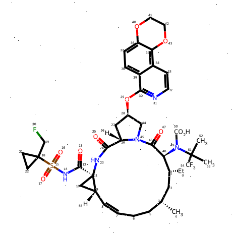 CC[C@@H]1C[C@H](C)CC/C=C\[C@@H]2C[C@@]2(C(=O)NS(=O)(=O)C2(CF)CC2)NC(=O)[C@@H]2C[C@@H](Oc3nccc4c5c(ccc34)OCCO5)CN2C(=O)[C@H]1N(C(=O)O)C(C)(C)C(F)(F)F